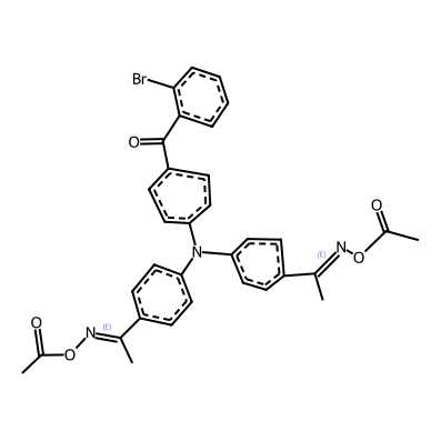 CC(=O)O/N=C(\C)c1ccc(N(c2ccc(C(=O)c3ccccc3Br)cc2)c2ccc(/C(C)=N/OC(C)=O)cc2)cc1